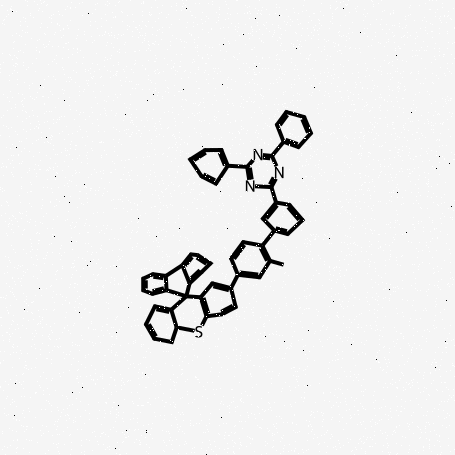 Cc1cc(-c2ccc3c(c2)C2(C4=CC=CCC4S3)c3ccccc3-c3ccccc32)ccc1-c1cccc(-c2nc(-c3ccccc3)nc(-c3ccccc3)n2)c1